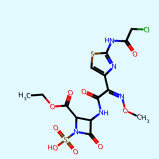 CCOC(=O)C1C(NC(=O)C(=NOC)c2csc(NC(=O)CCl)n2)C(=O)N1S(=O)(=O)O